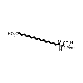 CCCCC[C@H](NC(=O)CCCCCCCCCCCCCCCCC(=O)O)C(=O)O